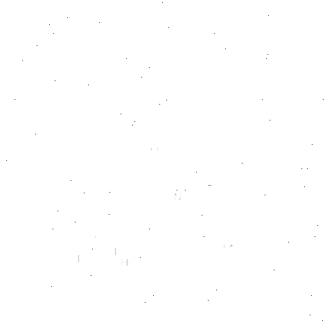 COC(=O)c1cc(O)c2c(C(F)(F)F)ccc(OCc3ccccc3)c2n1